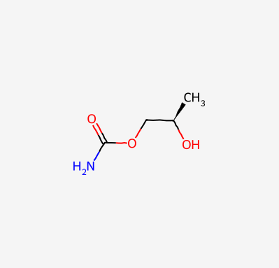 C[C@@H](O)COC(N)=O